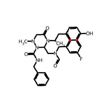 C[C@H](Cc1ccc(O)cc1)N1C(=O)CN(C)N(C(=O)NCc2ccccc2)C1CN(C=O)Cc1cc(F)ccc1F